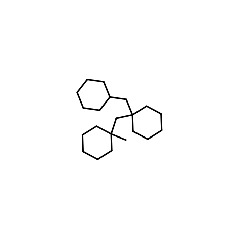 CC1(CC2(CC3CCCCC3)CCCCC2)CCCCC1